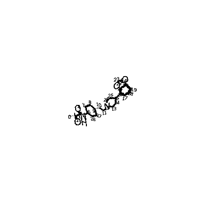 C[C@@H](O)C(=O)N[C@H]1CC[C@H](CCN2CCC(c3cccc4c3OCO4)CC2)CC1